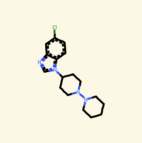 Clc1ccc2c(c1)ncn2C1CCN(N2CCCCC2)CC1